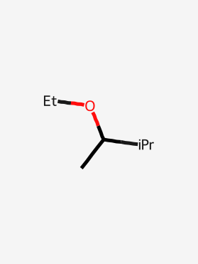 [CH2]COC(C)C(C)C